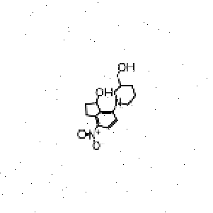 O=[N+]([O-])c1ccc(N2CCCC(CO)C2)c2c1CCC2O